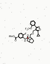 COC(=O)c1ccc(F)c(NC(=O)N2C3CCC(COCc4c(-c5ccccc5OC(F)(F)F)noc4C4CC4)C2CC3)c1